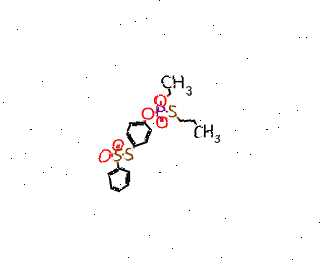 CCCSP(=O)(OCC)Oc1ccc(SS(=O)(=O)c2ccccc2)cc1